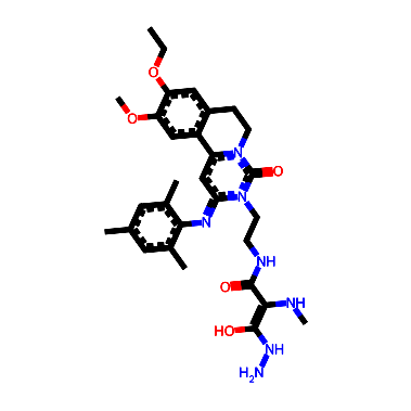 CCOc1cc2c(cc1OC)-c1c/c(=N\c3c(C)cc(C)cc3C)n(CCNC(=O)/C(NC)=C(\O)NN)c(=O)n1CC2